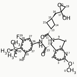 COc1ccc2c(n1)CCN(C(=O)[C@H]1C[C@H](CC3(O)CO3)C1)[C@H]2C(=O)Nc1cc(F)c([Si](C)(C)C)c(F)c1